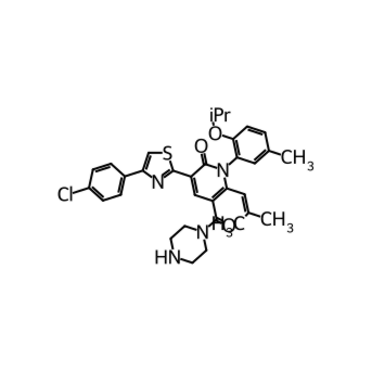 CC(C)=Cc1c(C(=O)N2CCNCC2)cc(-c2nc(-c3ccc(Cl)cc3)cs2)c(=O)n1-c1cc(C)ccc1OC(C)C